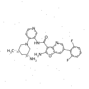 C[C@H]1C[C@@H](N)CN(c2ccncc2NC(=O)c2c(N)oc3cc(-c4c(F)cccc4F)cnc23)C1